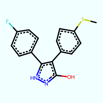 CSc1ccc(-c2c(O)n[nH]c2-c2ccc(F)cc2)cc1